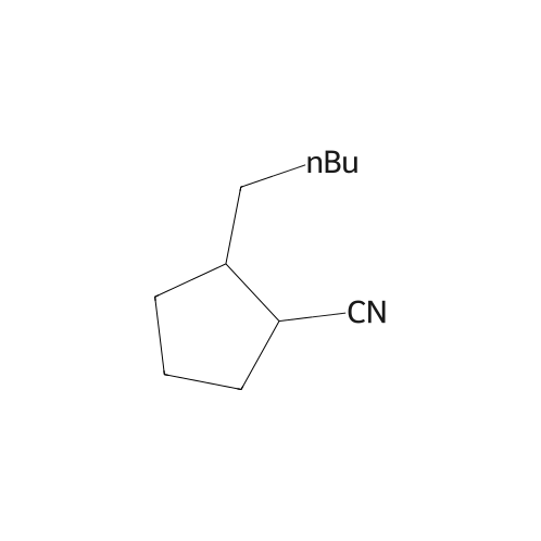 CCCCCC1CCCC1C#N